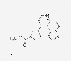 O=C(CC(F)(F)F)N1CCC(c2ccnc3cnn4nccc4c23)C1